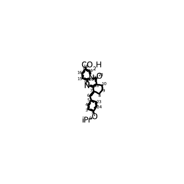 CC(C)Oc1ccc(C=C2CCCc3c2nc2ccc(C(=O)O)cn2c3=O)cc1